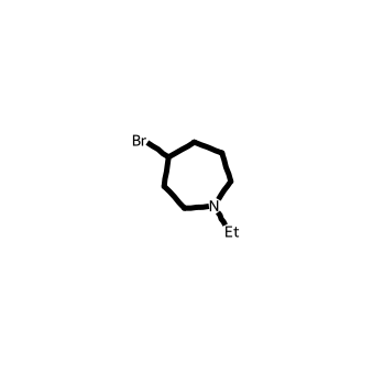 CCN1CCCC(Br)CC1